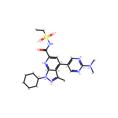 CCS(=O)(=O)NC(=O)c1cc(-c2cnc(N(C)C)nc2)c2c(C)nn(C3CCCCC3)c2n1